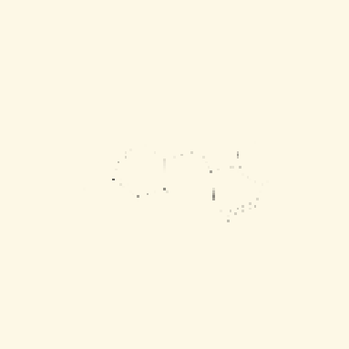 Cc1ccccc1Oc1ccc(C#N)cc1Cl